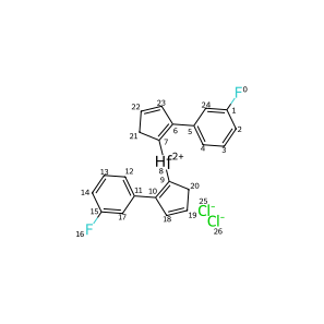 Fc1cccc(C2=[C]([Hf+2][C]3=C(c4cccc(F)c4)C=CC3)CC=C2)c1.[Cl-].[Cl-]